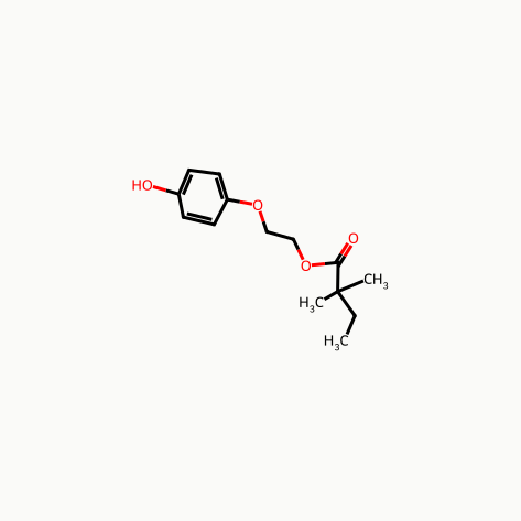 CCC(C)(C)C(=O)OCCOc1ccc(O)cc1